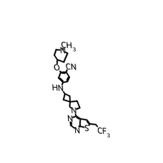 CN1CCC(Oc2cc(NC3CC4(CCN(c5ncnc6sc(CC(F)(F)F)cc56)C4)C3)ccc2C#N)CC1